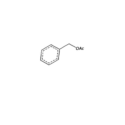 C[13C](=O)OCc1ccccc1